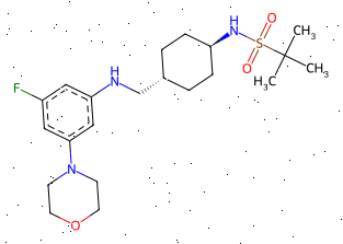 CC(C)(C)S(=O)(=O)N[C@H]1CC[C@H](CNc2cc(F)cc(N3CCOCC3)c2)CC1